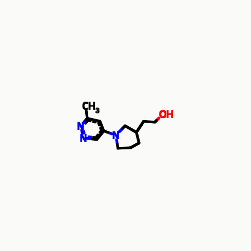 Cc1cc(N2CCCC(CCO)C2)cnn1